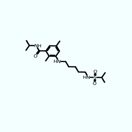 Cc1cc(NCCCCCNS(=O)(=O)C(C)C)c(C)c(C(=O)NC(C)C)c1